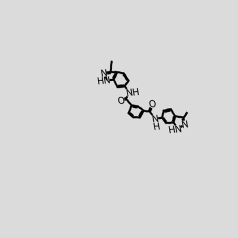 Cc1n[nH]c2cc(NC(=O)c3cccc(C(=O)Nc4ccc5c(C)n[nH]c5c4)c3)ccc12